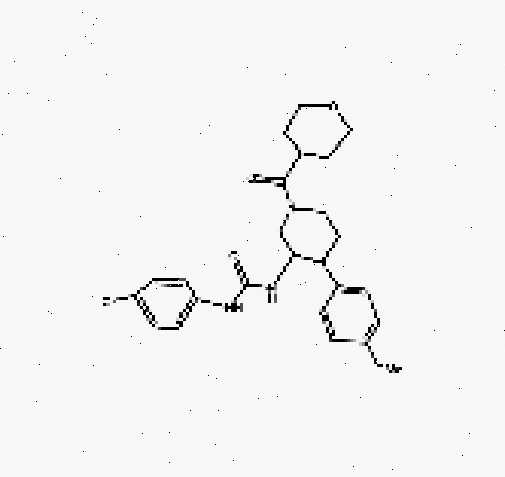 COc1ccc(C2CCN(C(=O)C3CCOCC3)CC2NC(=O)Nc2ccc(Cl)cc2)cc1